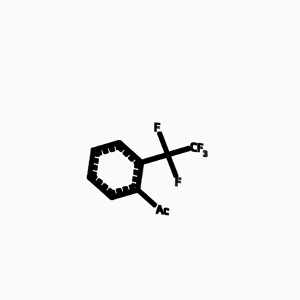 CC(=O)c1ccccc1C(F)(F)C(F)(F)F